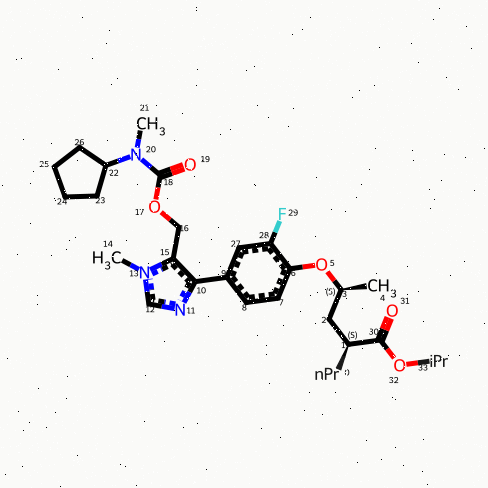 CCC[C@@H](C[C@H](C)Oc1ccc(-c2ncn(C)c2COC(=O)N(C)C2CCCC2)cc1F)C(=O)OC(C)C